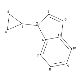 C1=CC(C2CC2)c2ccccc21